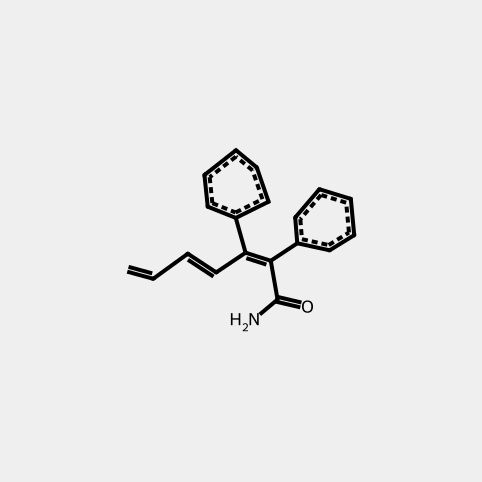 C=CC=CC(=C(C(N)=O)c1ccccc1)c1ccccc1